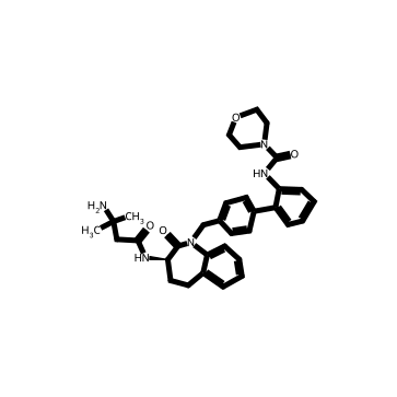 CC(C)(N)CC(=O)N[C@@H]1CCc2ccccc2N(Cc2ccc(-c3ccccc3NC(=O)N3CCOCC3)cc2)C1=O